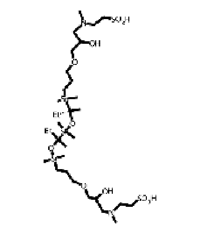 CCC(C)(O[Si](C)(C)CCCOCC(O)CN(C)CCS(=O)(=O)O)[Si](C)(C)O[C@@](C)(CC)[Si](C)(C)CCCOCC(O)CN(C)CCS(=O)(=O)O